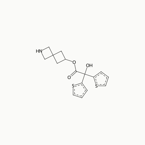 O=C(OC1CC2(CNC2)C1)C(O)(c1cccs1)c1cccs1